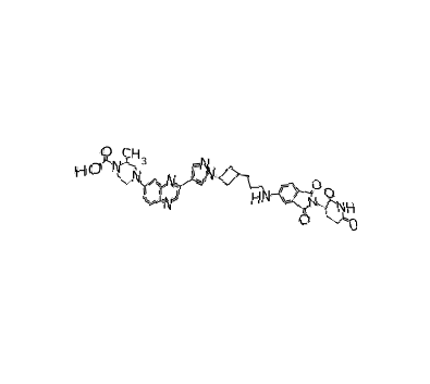 C[C@H]1CN(c2ccc3ncc(-c4cnn([C@H]5C[C@H](CCCNc6ccc7c(c6)C(=O)N(C6CCC(=O)NC6=O)C7=O)C5)c4)nc3c2)CCN1C(=O)O